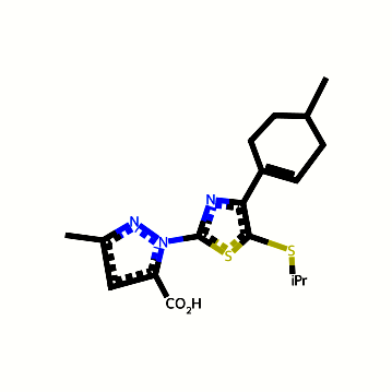 Cc1cc(C(=O)O)n(-c2nc(C3=CCC(C)CC3)c(SC(C)C)s2)n1